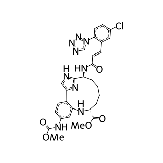 COC(=O)Nc1ccc2c(c1)N[C@@H](C(=O)OC)CCCC[C@H](NC(=O)/C=C/c1cc(Cl)ccc1-n1cnnn1)c1nc-2c[nH]1